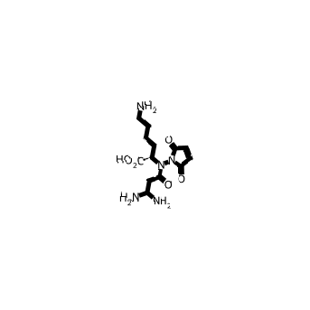 NCCCC[C@@H](C(=O)O)N(C(=O)CC(N)N)N1C(=O)C=CC1=O